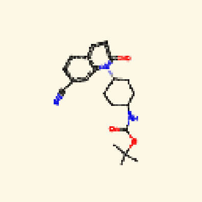 CC(C)(C)OC(=O)N[C@H]1CC[C@H](n2c(=O)ccc3ccc(C#N)cc32)CC1